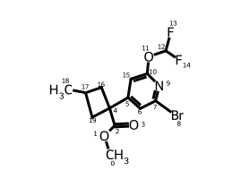 COC(=O)C1(c2cc(Br)nc(OC(F)F)c2)CC(C)C1